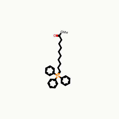 COC(=O)CCCCCCCCC=P(c1ccccc1)(c1ccccc1)c1ccccc1